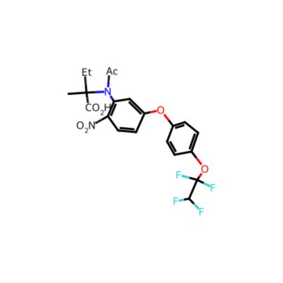 CCC(C)(C(=O)O)N(C(C)=O)c1cc(Oc2ccc(OC(F)(F)C(F)F)cc2)ccc1[N+](=O)[O-]